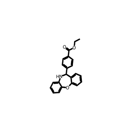 CCOC(=O)c1ccc(C2Nc3ccccc3Oc3ccccc32)cc1